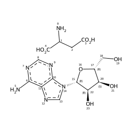 NC(CC(=O)O)C(=O)O.Nc1ncnc2c1ncn2[C@@H]1O[C@H](CO)[C@@H](O)[C@H]1O